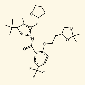 Cn1c(C(C)(C)C)cc(=NC(=O)c2cc(C(F)(F)F)ccc2OCC[C@H]2COC(C)(C)O2)n1C[C@H]1CCCO1